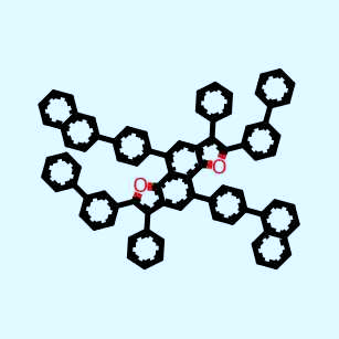 c1ccc(-c2cccc(-c3oc4c(cc(-c5ccc(-c6cccc7ccccc67)cc5)c5c6oc(-c7cccc(-c8ccccc8)c7)c(-c7ccccc7)c6cc(-c6ccc(-c7ccc8ccccc8c7)cc6)c45)c3-c3ccccc3)c2)cc1